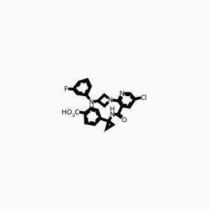 O=C(O)c1ccc(C2(NC(=O)c3cc(Cl)cnc3N3CC(Nc4cccc(F)c4)C3)CC2)cc1